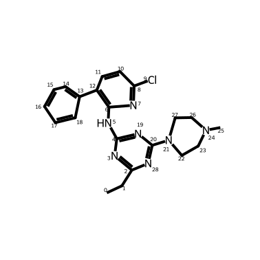 CCc1nc(Nc2nc(Cl)ccc2-c2ccccc2)nc(N2CCN(C)CC2)n1